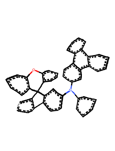 c1ccc(N(c2ccc3c(c2)C2(c4ccccc4Oc4ccccc42)c2ccccc2-3)c2ccc3c4ccccc4c4ccccc4c3c2)cc1